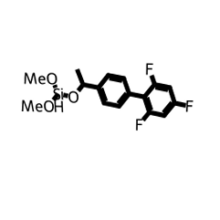 CO[SiH](OC)OC(C)c1ccc(-c2c(F)cc(F)cc2F)cc1